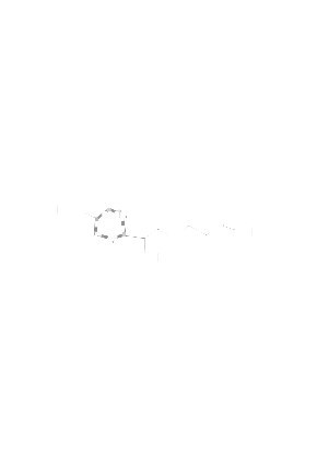 COCCOCC(C)c1ncc(C)cn1